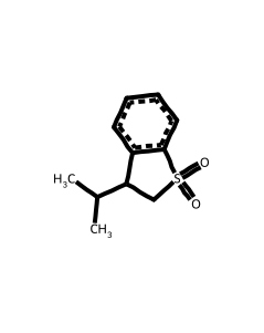 CC(C)C1CS(=O)(=O)c2ccccc21